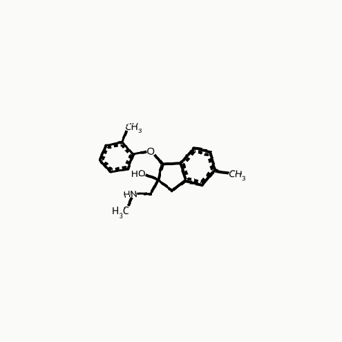 CNCC1(O)Cc2cc(C)ccc2C1Oc1ccccc1C